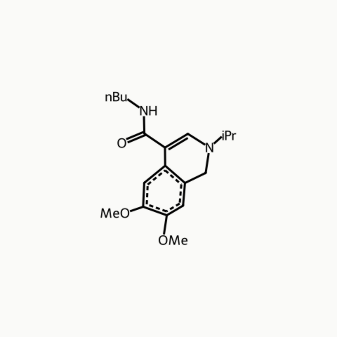 CCCCNC(=O)C1=CN(C(C)C)Cc2cc(OC)c(OC)cc21